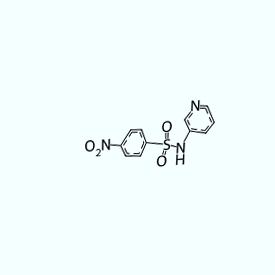 O=[N+]([O-])c1ccc(S(=O)(=O)Nc2cccnc2)cc1